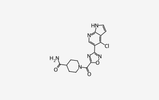 NC(=O)C1CCN(C(=O)c2nc(-c3cnc4[nH]ccc4c3Cl)no2)CC1